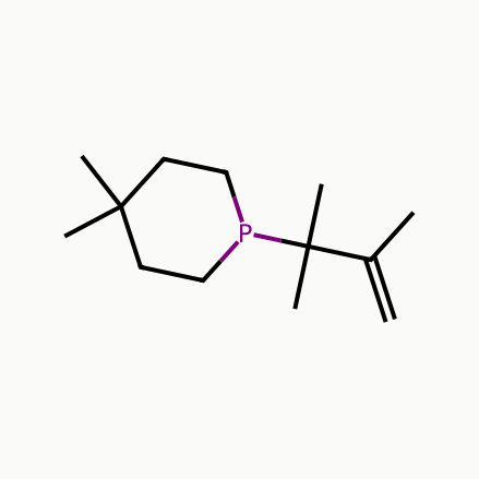 C=C(C)C(C)(C)P1CCC(C)(C)CC1